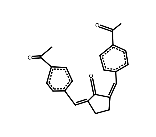 CC(=O)c1ccc(C=C2CCC(=Cc3ccc(C(C)=O)cc3)C2=O)cc1